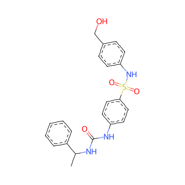 CC(NC(=O)Nc1ccc(S(=O)(=O)Nc2ccc(CO)cc2)cc1)c1ccccc1